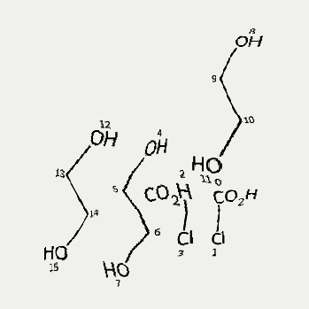 O=C(O)Cl.O=C(O)Cl.OCCO.OCCO.OCCO